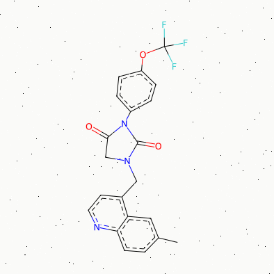 Cc1ccc2nccc(CN3CC(=O)N(c4ccc(OC(F)(F)F)cc4)C3=O)c2c1